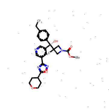 CC(C)(C)OC(=O)N1CC(C)([C@](O)(c2ccc(CC(F)(F)F)cc2)c2cncc(-c3noc(C4CCOCC4)n3)c2)C1